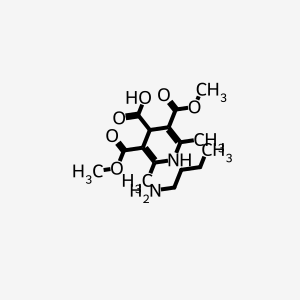 CCCCN.COC(=O)C1=C(C)NC(C)=C(C(=O)OC)C1C(=O)O